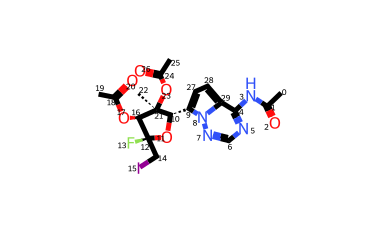 CC(=O)Nc1ncnn2c([C@@H]3O[C@](F)(CI)[C@@H](OC(C)=O)[C@@]3(C)OC(C)=O)ccc12